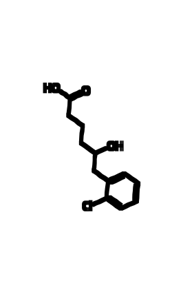 O=C(O)CCCC(O)Cc1ccccc1Cl